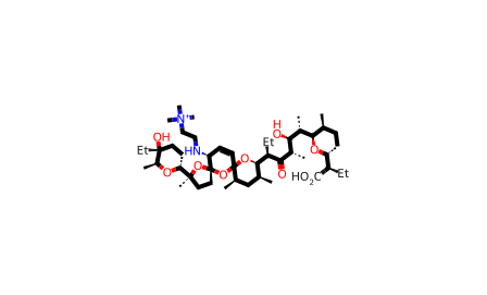 CC[C@@H](C(=O)[C@@H](C)[C@@H](O)[C@H](C)[C@@H]1O[C@@H]([C@@H](CC)C(=O)O)CC[C@@H]1C)[C@H]1OC2(C=C[C@@H](NCC[N+](C)(C)C)[C@]3(CC[C@@](C)([C@H]4CC[C@](O)(CC)[C@H](C)O4)O3)O2)[C@H](C)C[C@@H]1C